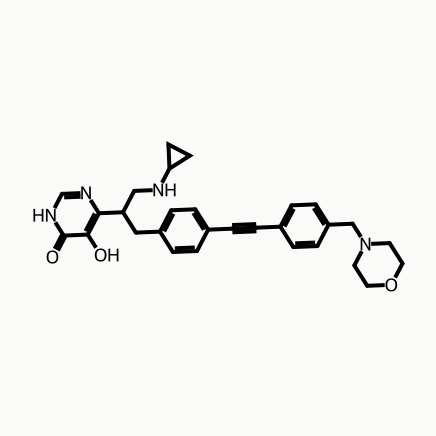 O=c1[nH]cnc(C(CNC2CC2)Cc2ccc(C#Cc3ccc(CN4CCOCC4)cc3)cc2)c1O